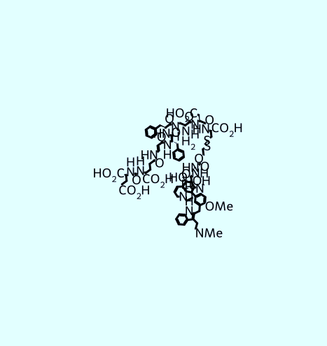 CC[C@]12C=CCN3CC[C@@]4(c5cc(Cc6[nH]c7ccccc7c6CCNC)c(OC)cc5N(C)C4[C@@](O)(C(=O)NNC(=O)OCCSSC[C@H](NC(=O)[C@H](CC(=O)O)NC(=O)[C@@H](N)CNC(=O)[C@H](Cc4ccccc4)NC(=O)[C@H](Cc4ccccc4)NC(=O)/C=C/NC(=O)CC[C@H](NC(=O)N[C@@H](CCC(=O)O)C(=O)O)C(=O)O)C(=O)O)[C@@H]1O)[C@@H]32